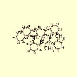 CC1=C(c2ccccc2C)n2c3ccccc3c3cc4c5ccc6ccccc6c5n5c4c(c32)B1c1ccccc1-5